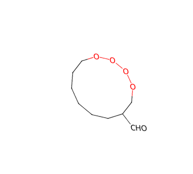 O=CC1CCCCCCOOOOC1